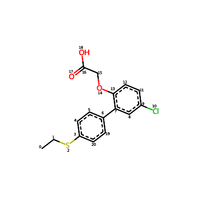 CCSc1ccc(-c2cc(Cl)ccc2OCC(=O)O)cc1